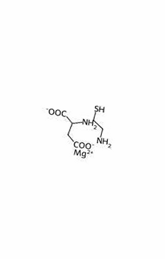 NC(CC(=O)[O-])C(=O)[O-].NCCS.[Mg+2]